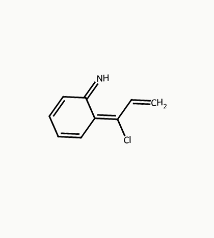 C=C/C(Cl)=C1/C=CC=CC1=N